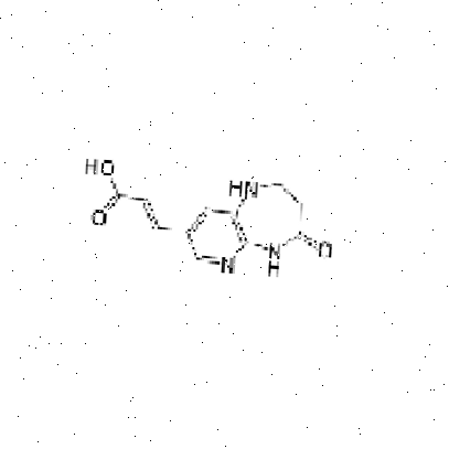 O=C(O)C=Cc1cnc2c(c1)NCCC(=O)N2